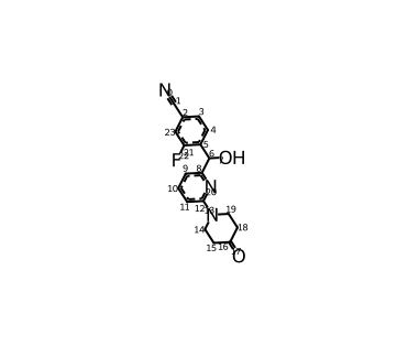 N#Cc1ccc(C(O)c2cccc(N3CCC(=O)CC3)n2)c(F)c1